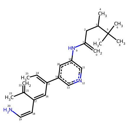 C=C(CC(C)C(C)(C)C)Nc1cncc(C(/C=C(/C=C\N)C(=C)C)=C/C)c1